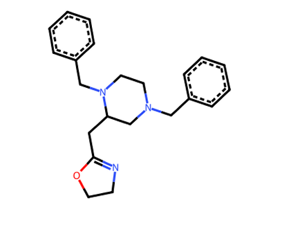 c1ccc(CN2CCN(Cc3ccccc3)C(CC3=NCCO3)C2)cc1